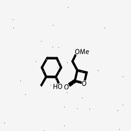 CC1CCCCC1O.COCC1COC1=O